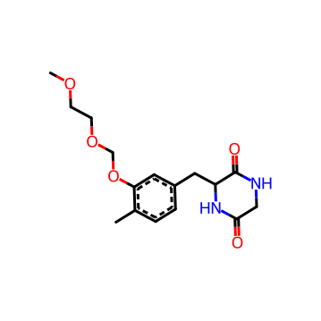 COCCOCOc1cc(CC2NC(=O)CNC2=O)ccc1C